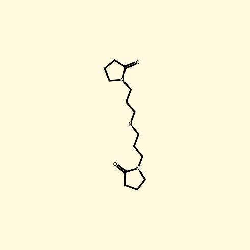 O=C1CCCN1CCC[N]CCCN1CCCC1=O